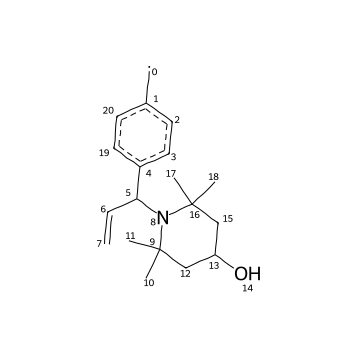 [CH2]c1ccc(C(C=C)N2C(C)(C)CC(O)CC2(C)C)cc1